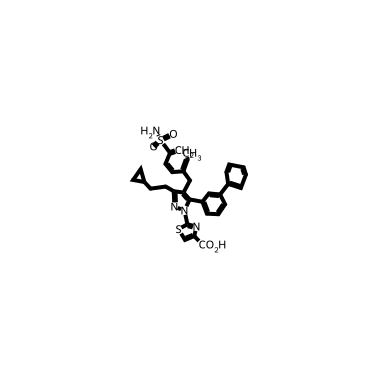 C=C(/C=C\C(=C/C)Cc1c(CCC2CC2)nn(-c2nc(C(=O)O)cs2)c1-c1cccc(-c2ccccc2)c1)S(N)(=O)=O